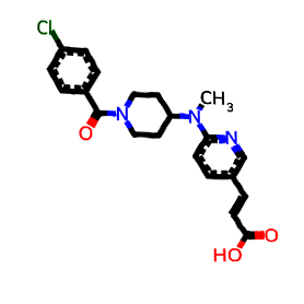 CN(c1ccc(C=CC(=O)O)cn1)C1CCN(C(=O)c2ccc(Cl)cc2)CC1